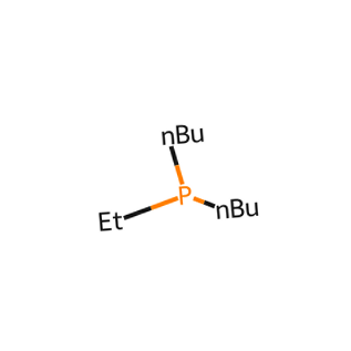 CCCCP(CC)CCCC